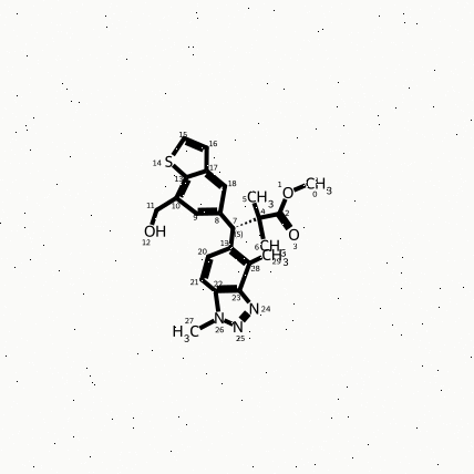 COC(=O)C(C)(C)[C@@H](c1cc(CO)c2sccc2c1)c1ccc2c(nnn2C)c1C